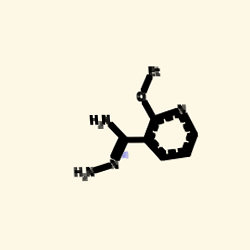 CCOc1ncccc1/C(N)=N/N